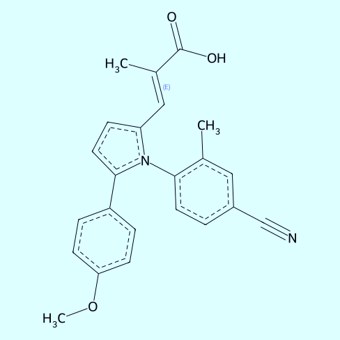 COc1ccc(-c2ccc(/C=C(\C)C(=O)O)n2-c2ccc(C#N)cc2C)cc1